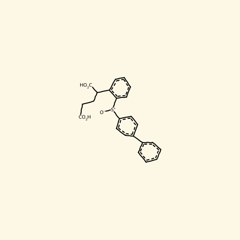 O=C(O)CCC(C(=O)O)c1ccccc1[S+]([O-])c1ccc(-c2ccccc2)cc1